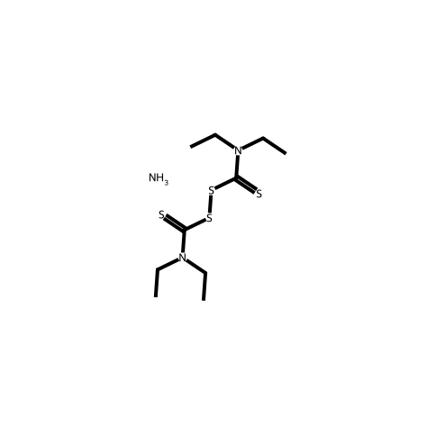 CCN(CC)C(=S)SSC(=S)N(CC)CC.N